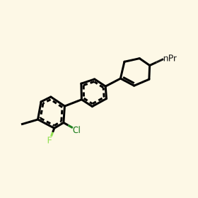 CCCC1CC=C(c2ccc(-c3ccc(C)c(F)c3Cl)cc2)CC1